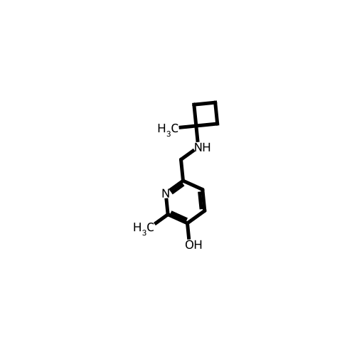 Cc1nc(CNC2(C)CCC2)ccc1O